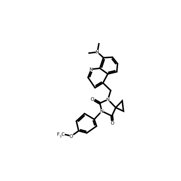 CN(C)c1cccc2c(CN3C(=O)N(c4ccc(OC(F)(F)F)cc4)C(=O)C34CC4)ccnc12